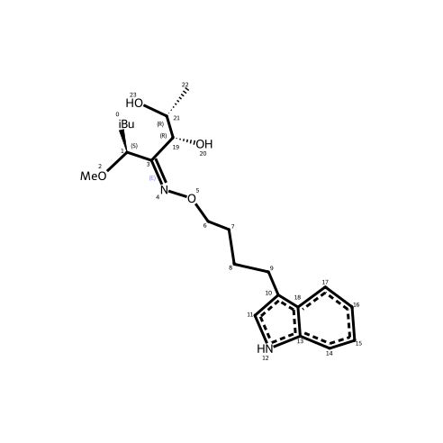 CCC(C)[C@H](OC)/C(=N/OCCCCc1c[nH]c2ccccc12)[C@@H](O)[C@@H](C)O